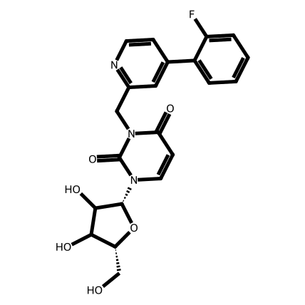 O=c1ccn([C@@H]2O[C@H](CO)C(O)C2O)c(=O)n1Cc1cc(-c2ccccc2F)ccn1